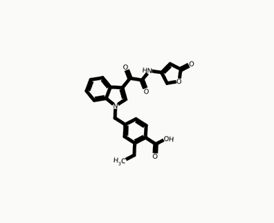 CCc1cc(Cn2cc(C(=O)C(=O)NC3=CC(=O)OC3)c3ccccc32)ccc1C(=O)O